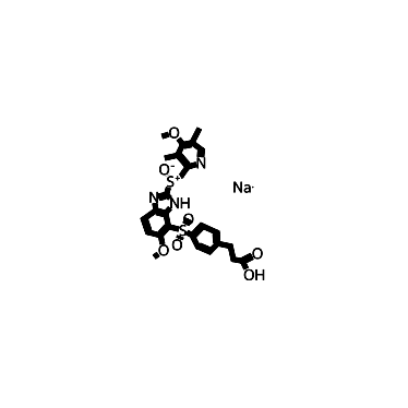 COc1ccc2nc([S+]([O-])Cc3ncc(C)c(OC)c3C)[nH]c2c1S(=O)(=O)c1ccc(CCC(=O)O)cc1.[Na]